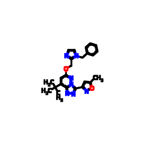 Cc1cc(-c2nnc3c(C(C)(C)C)cc(OCc4nccn4Cc4ccccc4)nn23)no1